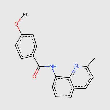 CCOc1ccc(C(=O)Nc2cccc3ccc(C)nc23)cc1